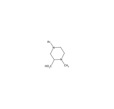 CC(=O)N1CCN(C)C(C(=O)O)C1